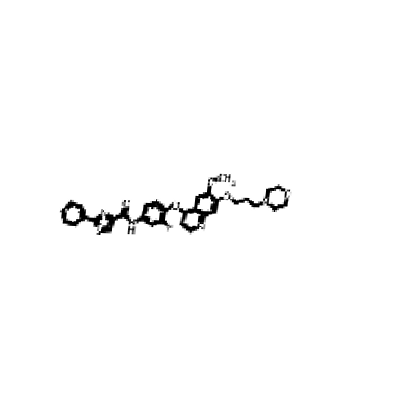 COc1cc2c(Oc3ccc(NC(=O)c4csc(-c5ccccc5)n4)cc3F)ccnc2cc1OCCCN1CCOCC1